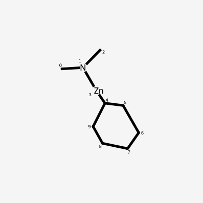 C[N](C)[Zn][CH]1CCCCC1